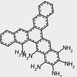 Nc1c(N)c(N)c2c(N)c3c(cc2c1N)c1cc2ccccc2cc1c1cc2ccccc2c(N)c13